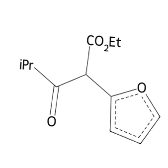 CCOC(=O)C(C(=O)C(C)C)c1ccco1